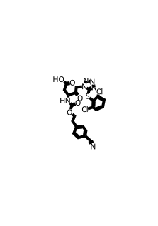 N#Cc1ccc(CCOC(=O)NC(CC(=O)O)C(=O)Cn2nnnc2Sc2c(Cl)cccc2Cl)cc1